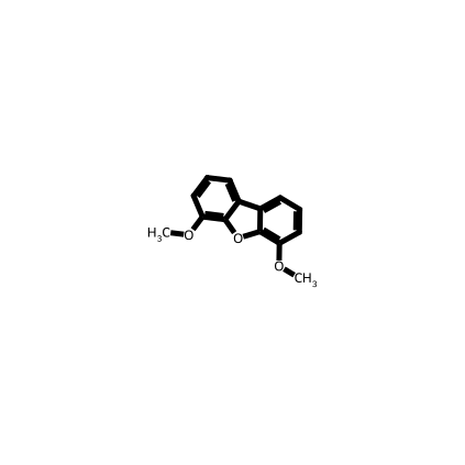 COc1cccc2c1oc1c(OC)cccc12